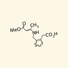 COC(=O)C=C(C)NCc1sccc1CC(=O)O